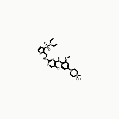 CCN(CC)S(=O)(=O)c1ccsc1CNc1ncc(Cl)c(Nc2ccc(N3CC[P](C)(O)CC3)cc2OC)n1